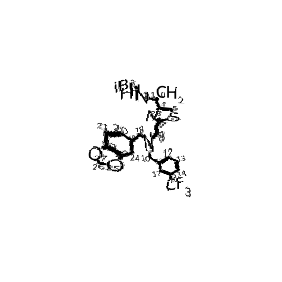 C=C(NC(C)CC)c1csc(CN(Cc2cccc(C(F)(F)F)c2)Cc2ccc3c(c2)OCO3)n1